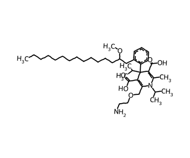 CCCCCCCCCCCCCC(Cc1ccccc1C1(C(C)C)C(C(=O)O)=C(C)N(C(C)C)C(COCCN)=C1C(=O)O)OC